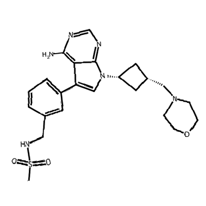 CS(=O)(=O)NCc1cccc(-c2cn([C@H]3C[C@@H](CN4CCOCC4)C3)c3ncnc(N)c23)c1